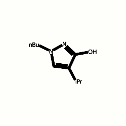 CCCCn1cc(C(C)C)c(O)n1